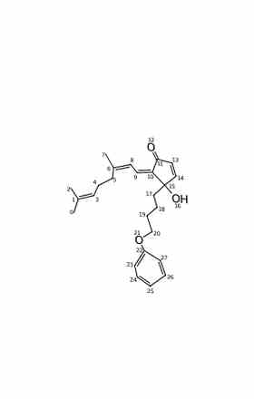 CC(C)=CCCC(C)=CC=C1C(=O)C=CC1(O)CCCCOc1ccccc1